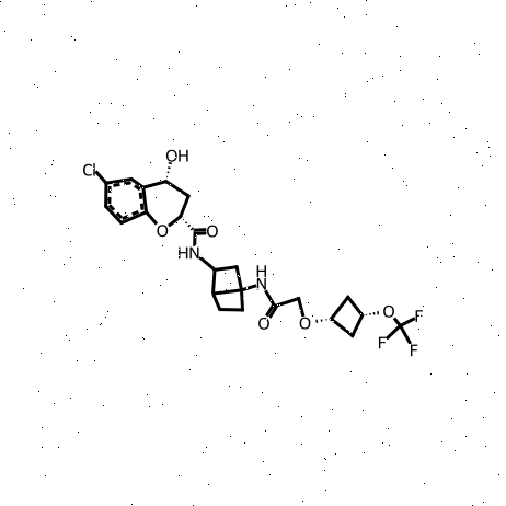 O=C(CO[C@H]1C[C@@H](OC(F)(F)F)C1)NC12CCC1C(NC(=O)[C@H]1C[C@@H](O)c3cc(Cl)ccc3O1)C2